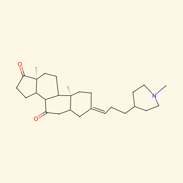 CN1CCC(CC/C=C2\CC[C@@]3(C)C(CC(=O)C4C3CC[C@]3(C)C(=O)CCC43)C2)CC1